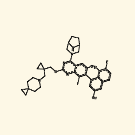 CCc1c(F)ccc2cc(O)cc(-c3c(C(F)(F)F)cc4c(N5CC6CCC(C5)N6)nc(OCC5(CN6CCC7(CC6)CC7)CC5)nc4c3F)c12